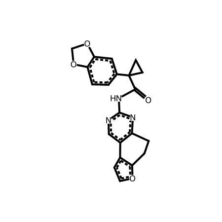 O=C(Nc1ncc2c(n1)CCc1occc1-2)C1(c2ccc3c(c2)OCO3)CC1